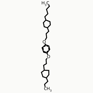 CCCCCC1CCC(CCCOc2ccc(OCCCC3CCC(CCC)CC3)cc2)CC1